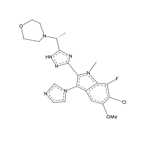 COc1cc2c(-n3ccnc3)c(-c3n[nH]c([C@@H](C)N4CCOCC4)n3)n(C)c2c(F)c1Cl